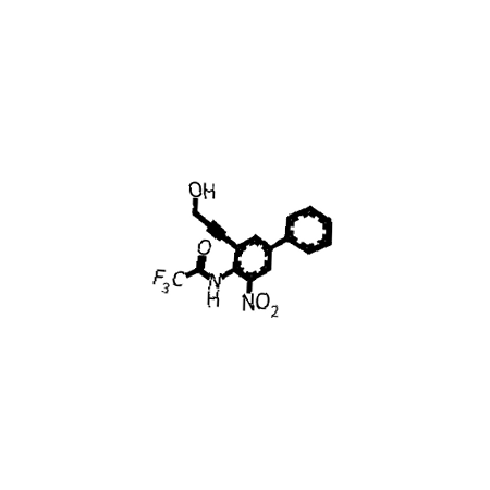 O=C(Nc1c(C#CCO)cc(-c2ccccc2)cc1[N+](=O)[O-])C(F)(F)F